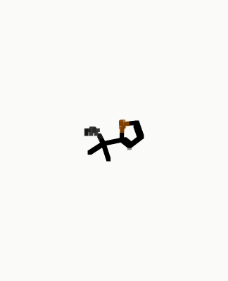 CCCC(C)(C)c1[c]ccs1